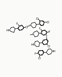 CN1CCC(c2ccc(Cl)cc2Cl)CC1.CN1CCC(c2ccc(F)cc2F)CC1.Fc1cc(Cl)cc(C2CCNCC2)c1.Fc1cc(Cl)ccc1C1CCNCC1.Fc1ccc(C2CCNCC2)cc1Cl